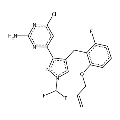 C=CCOc1cccc(F)c1Cc1cn(C(F)F)nc1-c1cc(Cl)nc(N)n1